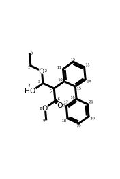 CCOC(O)C(C(=O)OC)c1ccccc1-c1ccccc1